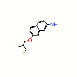 CC(CF)COc1ccc2ccc([NH])cc2c1